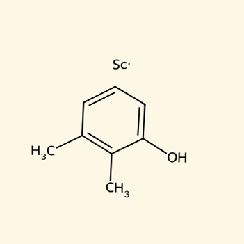 Cc1cccc(O)c1C.[Sc]